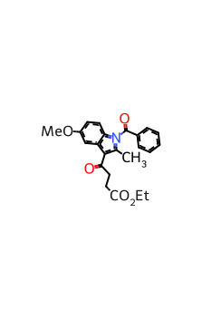 CCOC(=O)CCC(=O)c1c(C)n(C(=O)c2ccccc2)c2ccc(OC)cc12